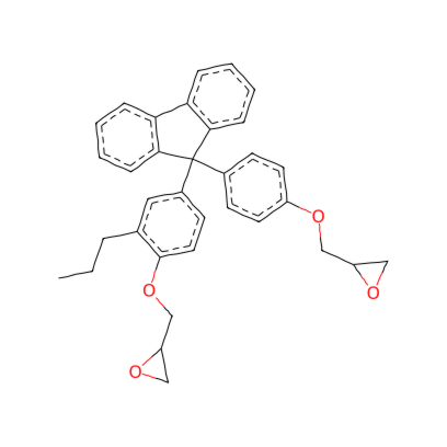 CCCc1cc(C2(c3ccc(OCC4CO4)cc3)c3ccccc3-c3ccccc32)ccc1OCC1CO1